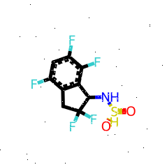 O=[SH](=O)NC1c2c(F)c(F)cc(F)c2CC1(F)F